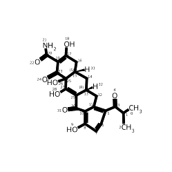 CC(C)C(=O)c1ccc(O)c2c1C[C@H]1C[C@H]3CC(O)=C(C(N)=O)C(=O)C3(O)C(O)=C1C2=O